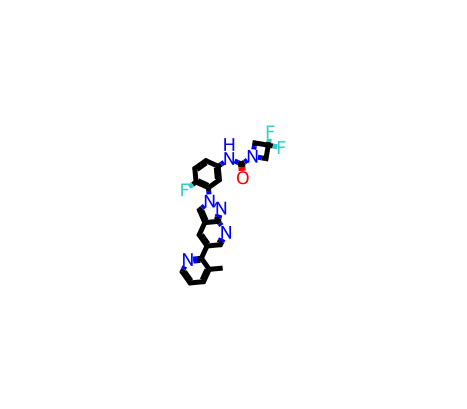 Cc1cccnc1-c1cnc2nn(-c3cc(NC(=O)N4CC(F)(F)C4)ccc3F)cc2c1